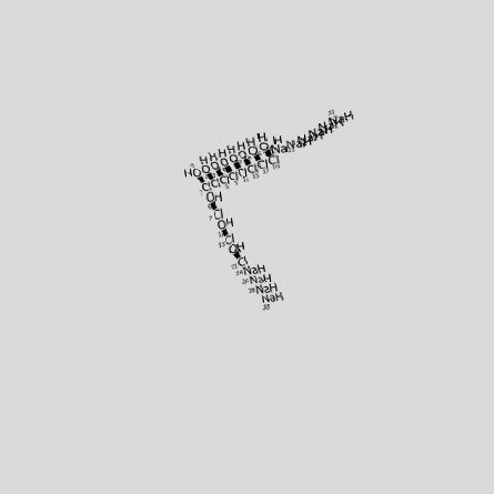 OCl.OCl.OCl.OCl.OCl.OCl.OCl.OCl.OCl.OCl.OCl.[NaH].[NaH].[NaH].[NaH].[NaH].[NaH].[NaH].[NaH].[NaH].[NaH]